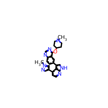 CN1CCC(Oc2ncnc3ccc(-c4c[nH]c5nccc(-c6cnn(C)c6)c45)cc23)CC1